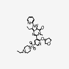 CCc1c2nc(-c3cc(S(=O)(=O)N4CCN(CC)CC4)cnc3O[C@H]3CCOC3)n(C)c(=O)c2nn1-c1ccccn1